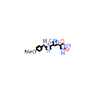 COc1ccc(Cc2cncc(-c3cc(-c4c[nH]c(=O)[nH]c4=O)nnc3C)n2)cc1